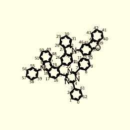 c1ccc(-c2nc(-c3ccccc3)nc(-c3ccc4c(c3-c3ccc5c(c3)c3ccccc3n5-c3ccc5oc6ccccc6c5c3)c3ccccc3n4-c3ccccc3)n2)cc1